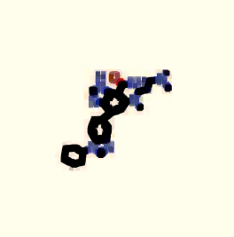 CN(C)CCCN(C)c1cc(-c2ccc3c(c2)ncn3C2CCCCC2)c2nc[nH]c2c1C(N)=O